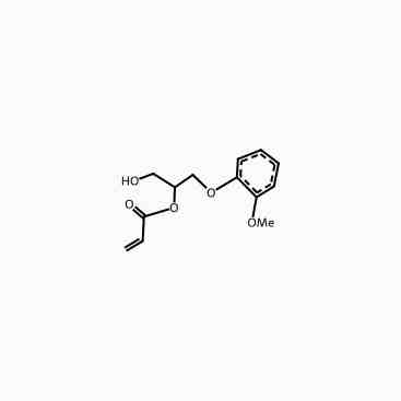 C=CC(=O)OC(CO)COc1ccccc1OC